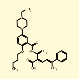 C=C(NC(=O)c1cc(N2CCN(CC)CC2)ccc1OCCCC)/C(=C\C=C(/C)c1ccccc1)C(=O)O